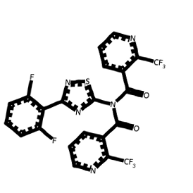 O=C(c1cccnc1C(F)(F)F)N(C(=O)c1cccnc1C(F)(F)F)c1nc(-c2c(F)cccc2F)ns1